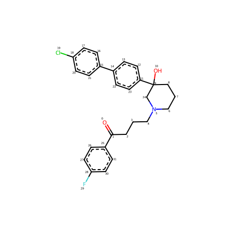 O=C(CCCN1CCCC(O)(c2ccc(-c3ccc(Cl)cc3)cc2)C1)c1ccc(F)cc1